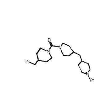 CC(C)CC1CCN(C(=O)N2CCC(CC3CCN(C(C)C)CC3)CC2)CC1